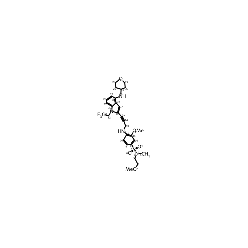 COCCN(C)S(=O)(=O)c1ccc(NCC#Cc2cc3c(NC4CCOCC4)cccc3n2CC(F)(F)F)c(OC)c1